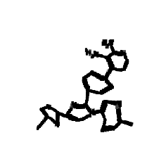 Cc1ccc(-n2cc(-c3nc(C)cs3)nc2-c2ccc(-c3ccnc(N)c3N)cc2)cn1